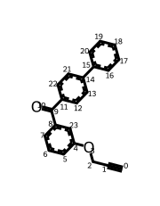 C#CCOc1cccc(C(=O)c2ccc(-c3ccccc3)cc2)c1